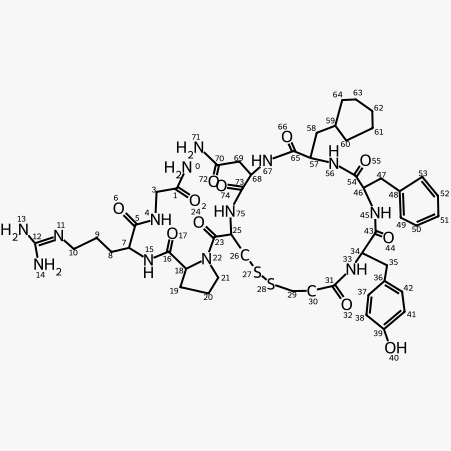 NC(=O)CNC(=O)C(CCCN=C(N)N)NC(=O)C1CCCN1C(=O)C1CSSCCC(=O)NC(Cc2ccc(O)cc2)C(=O)NC(Cc2ccccc2)C(=O)NC(CC2CCCCC2)C(=O)NC(CC(N)=O)C(=O)N1